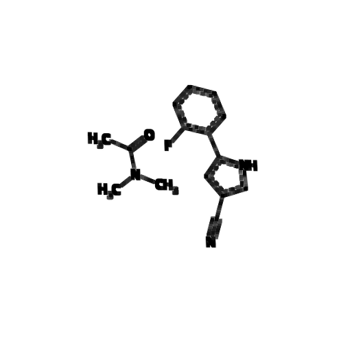 CC(=O)N(C)C.N#Cc1c[nH]c(-c2ccccc2F)c1